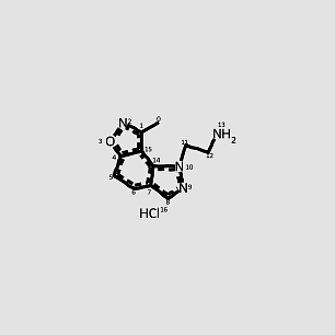 Cc1noc2ccc3cnn(CCN)c3c12.Cl